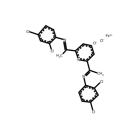 C/C(=N\c1ccc(Cl)cc1Cl)c1cccc(/C(C)=N/c2ccc(Cl)cc2Cl)n1.[Cl-].[Cl-].[Fe+2]